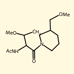 COCC1CCCN(C(=O)C(NC(C)=O)C(C)OC)C1